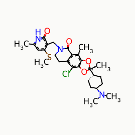 CSc1cc(C)[nH]c(=O)c1CN1CCc2c(Cl)c3c(c(C)c2C1=O)O[C@](C)([C@H]1CC[C@H](N(C)C)CC1)O3